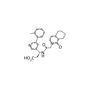 Cc1ccccc1-c1cncc([C@H](CC(=O)O)NC(=O)Cn2ccc3c(c2=O)CCCC3)c1